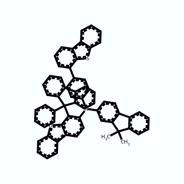 CC1(C)c2ccccc2-c2ccc(N(c3ccc(-c4cccc5c4sc4ccccc45)cc3)c3ccc4c(oc5ccccc54)c3C3(c4ccccc4)c4ccccc4-c4ccccc43)cc21